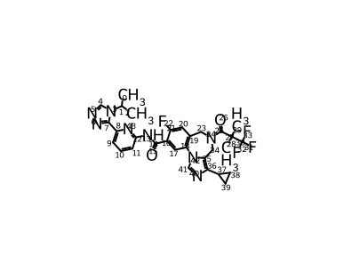 CC(C)n1cnnc1-c1cccc(NC(=O)c2cc3c(cc2F)CN(C(=O)C(C)(C)C(F)(F)F)Cc2c(C4CC4)ncn2-3)n1